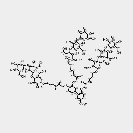 CC(=O)NC1C(O)[C@H](O[C@@H]2OC(CO)[C@H](O)C(O[C@H]3OC(CO)[C@H](O)C(O)C3O)C2O)C(CO)O[C@H]1OCCCNC(=O)COc1ccc(-c2cc(C(=O)O)ccc2OCC(=O)NCCCO[C@@H]2OC(CO)[C@@H](O[C@@H]3OC(CO)[C@H](O)C(O[C@H]4OC(CO)[C@H](O)C(O)C4O)C3O)C(O)C2NC(C)=O)cc1OCC(=O)NCCCO[C@@H]1OC(CO)[C@H](O[C@@H]2OC(CO)[C@H](O)C(O[C@H]3OC(CO)[C@H](O)C(O)C3O)C2O)C(O)C1NC(C)=O